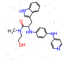 CN(CCO)C(=O)C(Cc1c[nH]c2ccccc12)Nc1ccc(Nc2ccncc2)cc1